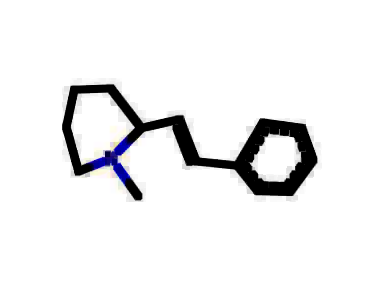 CN1CCCCC1C=Cc1ccccc1